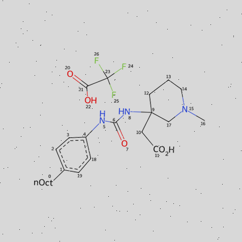 CCCCCCCCc1ccc(NC(=O)NC2(CC(=O)O)CCCN(C)C2)cc1.O=C(O)C(F)(F)F